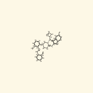 Cc1ccc2nc(CN3CCC(c4cccc(F)c4OCc4ccccc4F)CC3)n(C[C@@H]3CCO3)c2c1